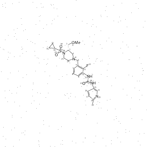 COC[C@@H]1CN(Cc2cccc(NC(=O)Nc3ccc(C)nc3)c2F)CCN1S(=O)(=O)C1CC1